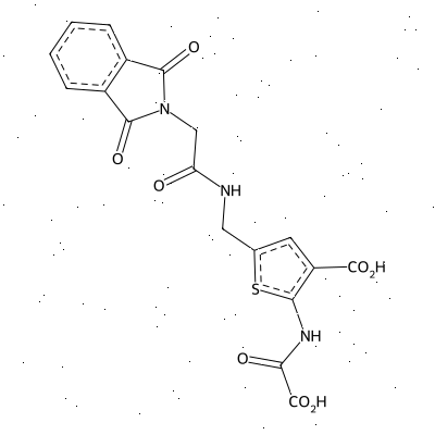 O=C(CN1C(=O)c2ccccc2C1=O)NCc1cc(C(=O)O)c(NC(=O)C(=O)O)s1